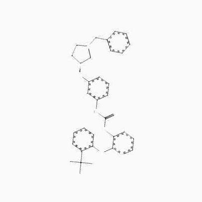 CC(C)(C)c1ccccc1Oc1ncccc1NC(=O)Nc1cccc(O[C@H]2CCN(Cc3ccccc3)C2)c1